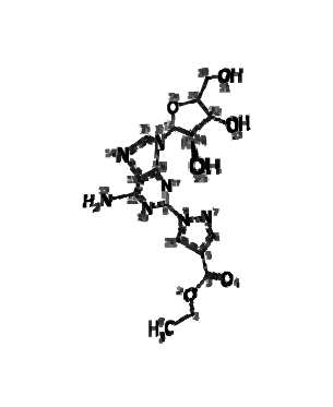 CCOC(=O)c1cnn(-c2nc(N)c3ncn(C4OC(CO)C(O)[C@H]4O)c3n2)c1